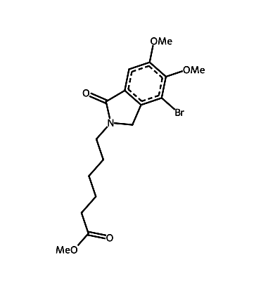 COC(=O)CCCCCN1Cc2c(cc(OC)c(OC)c2Br)C1=O